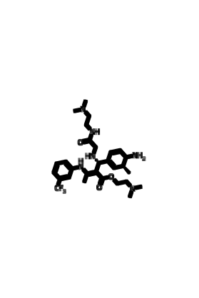 C/C(Nc1cccc(C(F)(F)F)c1)=C(\C(=O)OCCN(C)C)[C@H](NCC(=O)NCCN(C)C)C1=C[C@H](C)C(N)C=C1